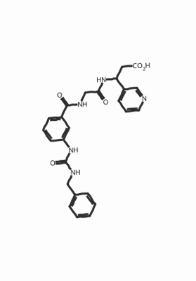 O=C(O)CC(NC(=O)CNC(=O)c1cccc(NC(=O)NCc2ccccc2)c1)c1cccnc1